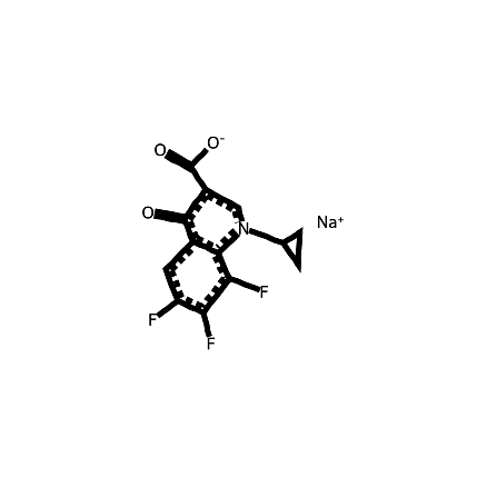 O=C([O-])c1cn(C2CC2)c2c(F)c(F)c(F)cc2c1=O.[Na+]